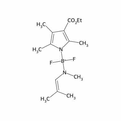 CCOC(=O)c1c(C)c(C)n([B-](F)(F)N(C)C=C(C)C)c1C